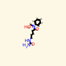 NC(=O)NCCCCC(=O)N(CO)c1ccccc1